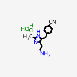 Cc1nc(CCN)c(Cc2ccc(C#N)cc2)[nH]1.Cl.Cl